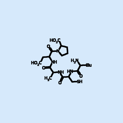 CCC(C)C(N)C(=O)NC(CS)C(=O)NC(C)C(=O)NC(CC(=O)O)C(=O)N1CCCC1C(=O)O